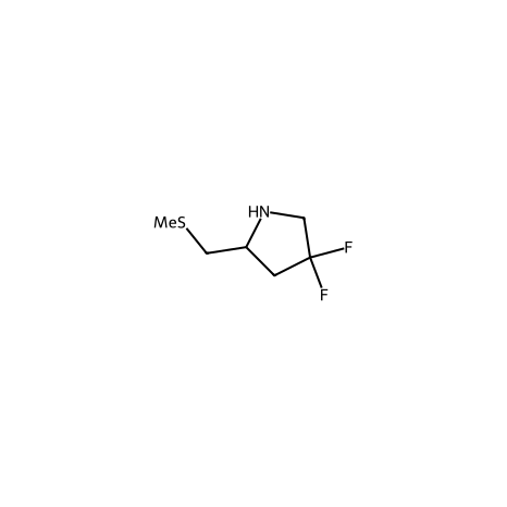 CSCC1CC(F)(F)CN1